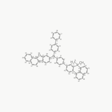 CC1(C)c2cc(-c3ccc(N(c4ccc(-c5ccccc5)cc4)c4ccc5c(c4)oc4c6ccccc6ccc54)cc3)ccc2-c2cccc3cccc1c23